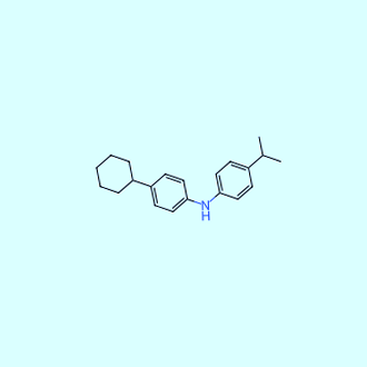 CC(C)c1ccc(Nc2ccc(C3CCCCC3)cc2)cc1